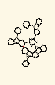 c1ccc(-n2c3ccccc3c3ccc(-c4nc(-c5ccc6c7ccccc7n(-c7ccccc7)c6c5)nc(-n5c6ccccc6c6ccc7c(c8ccccc8n7-c7ccccc7)c65)n4)cc32)cc1